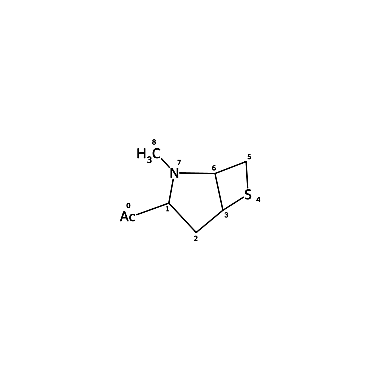 CC(=O)C1CC2SCC2N1C